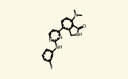 CN(C)c1ccc(-c2ccnc(Nc3cccc(F)c3)n2)c2c1C(=O)NC2